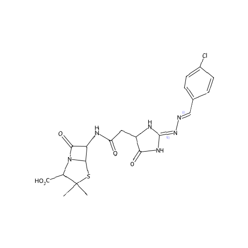 CC1(C)SC2C(NC(=O)CC3N/C(=N\N=C\c4ccc(Cl)cc4)NC3=O)C(=O)N2C1C(=O)O